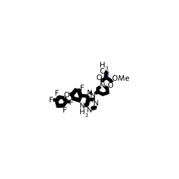 C/C=C(/C(=O)OC)C(=O)N1CCCC(n2nc(-c3ccc(Oc4c(F)c(F)cc(F)c4F)cc3F)c3c(N)ncnc32)C1